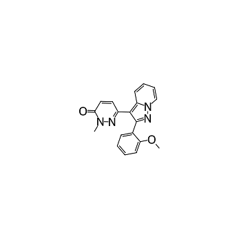 COc1ccccc1-c1nn2ccccc2c1-c1ccc(=O)n(C)n1